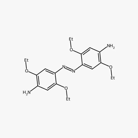 CCOc1cc(/N=N/c2cc(OCC)c(N)cc2OCC)c(OCC)cc1N